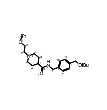 CC(C)COCc1ccc(CNC(=O)C2CCN(CCOC(C)C)CC2)cc1